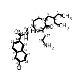 CCC(CC)CN1CC[C@@H](CNC(=O)c2ccc3cc(Cl)ccc3c2)N[C@@H](CCN)C1=O